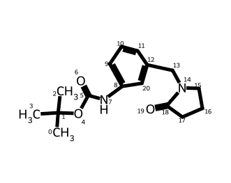 CC(C)(C)OC(=O)Nc1cccc(CN2CCCC2=O)c1